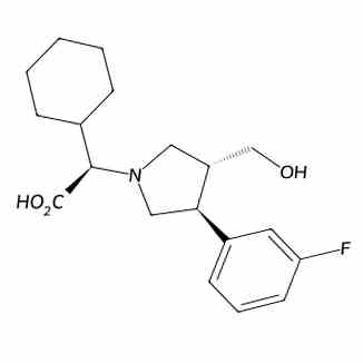 O=C(O)[C@@H](C1CCCCC1)N1C[C@H](CO)[C@@H](c2cccc(F)c2)C1